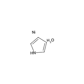 O.[Ni].c1cc[nH]c1